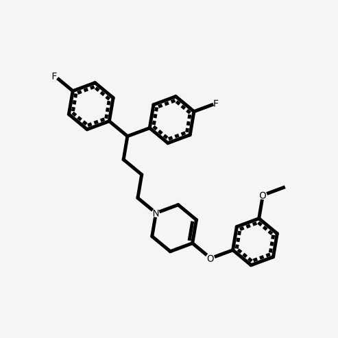 COc1cccc(OC2=CCN(CCCC(c3ccc(F)cc3)c3ccc(F)cc3)CC2)c1